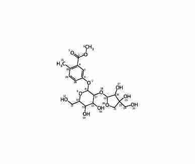 COC(=O)c1cc(OC2OC(CO)C(O)C(O)C2OC2OCC(O)(CO)C2O)ccc1C